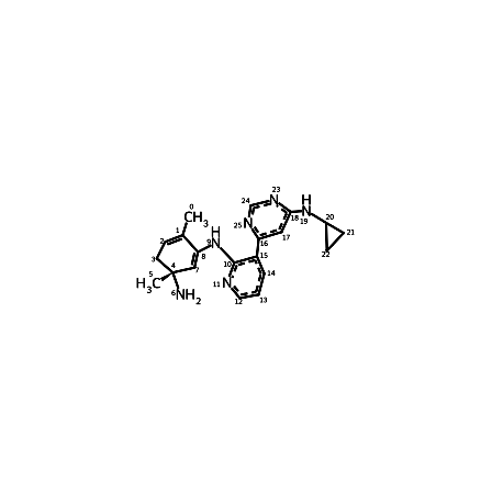 CC1=CC[C@@](C)(N)C=C1Nc1ncccc1-c1cc(NC2CC2)ncn1